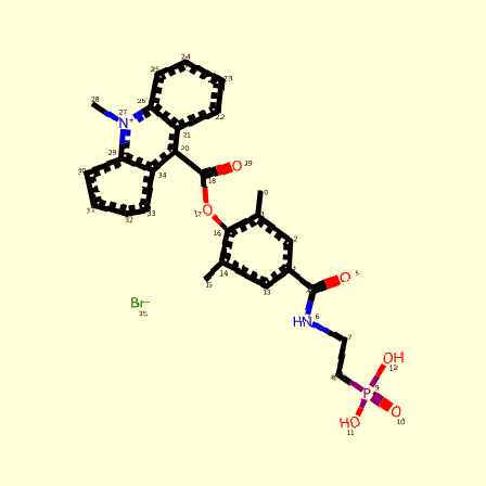 Cc1cc(C(=O)NCCP(=O)(O)O)cc(C)c1OC(=O)c1c2ccccc2[n+](C)c2ccccc12.[Br-]